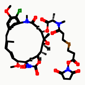 COc1cc2cc(c1Cl)N(C)C(=O)C[C@H](OC(=O)[C@H](C)N(C)C(=O)CCSCCC(=O)ON1C(=O)CCC1=O)[C@]1(C)O[C@H]1[C@H](C)[C@@H]1C[C@@](O)(NC(=O)O1)[C@H](OC)/C=C/C=C(\C)C2